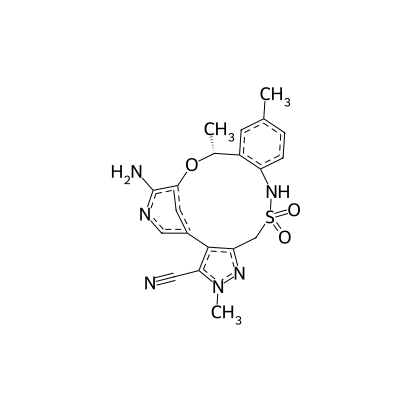 Cc1ccc2c(c1)[C@@H](C)Oc1cc(cnc1N)-c1c(nn(C)c1C#N)CS(=O)(=O)N2